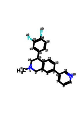 CN1Cc2cc(-c3cccnc3)ccc2C(c2ccc(F)c(F)c2)C1